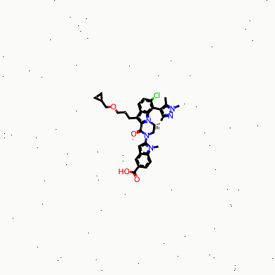 Cc1nn(C)c(C)c1-c1c(Cl)ccc2c(CCCOCC3CC3)c3n(c12)[C@H](C)CN(c1cc2cc(C(=O)O)ccc2n1C)C3=O